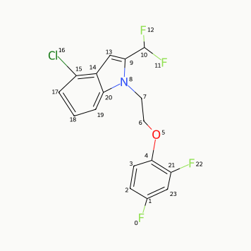 Fc1ccc(OCCn2c(C(F)F)cc3c(Cl)cccc32)c(F)c1